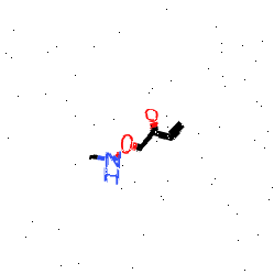 C=CC(=O)CONC